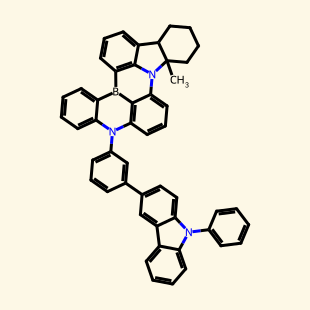 CC12CCCCC1c1cccc3c1N2c1cccc2c1B3c1ccccc1N2c1cccc(-c2ccc3c(c2)c2ccccc2n3-c2ccccc2)c1